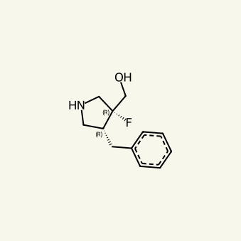 OC[C@]1(F)CNC[C@H]1Cc1ccccc1